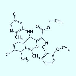 CCOC(=O)c1nc(-c2ccccc2OC)n2c1C(Nc1cc(Cl)cnc1C)C1=CC=C(Cl)C(C)C1=C2C